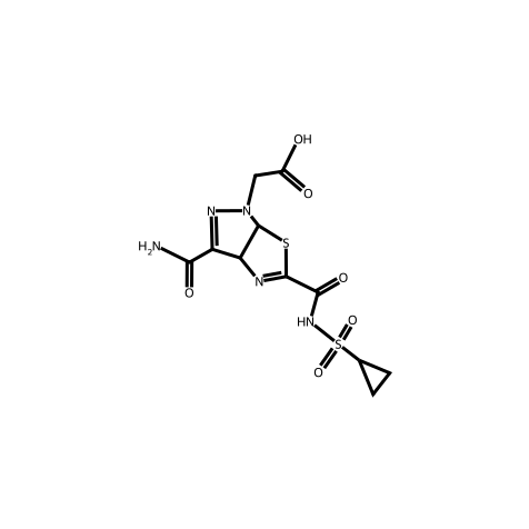 NC(=O)C1=NN(CC(=O)O)C2SC(C(=O)NS(=O)(=O)C3CC3)=NC12